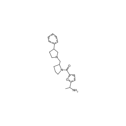 CC(N)c1ccc(C(=O)N2CCCC2CN2CCC(c3ccccc3)C2)o1